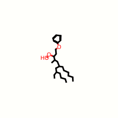 CCCCCCC(CC(CC)CCCC)CC(C)C(CCOc1ccccc1)OO